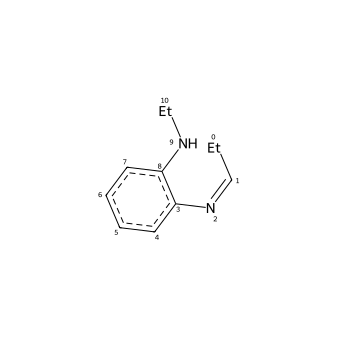 CC/C=N\c1ccccc1NCC